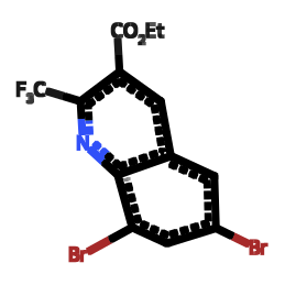 CCOC(=O)c1cc2cc(Br)cc(Br)c2nc1C(F)(F)F